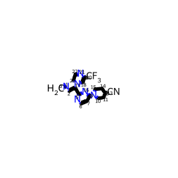 C=N/C=C(/c1nccc(N2CCC(C#N)CC2)n1)N1C=C(C(F)(F)F)N=CC1